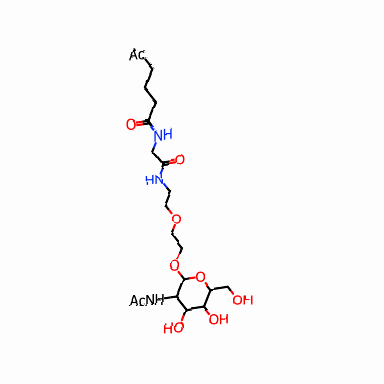 CC(=O)CCCC(=O)NCC(=O)NCCOCCOC1OC(CO)C(O)C(O)C1NC(C)=O